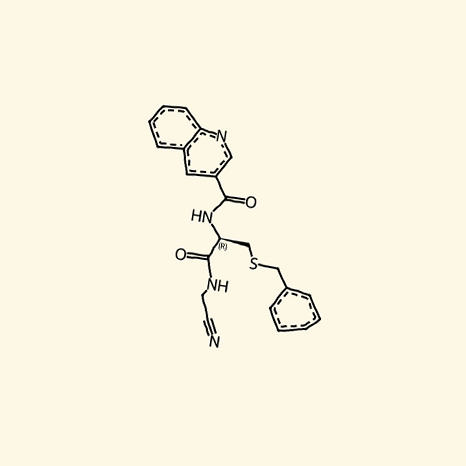 N#CCNC(=O)[C@H](CSCc1ccccc1)NC(=O)c1cnc2ccccc2c1